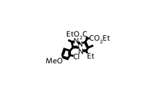 CCOC(=O)C(C(=O)OCC)c1c(C)c(CC)nc2c(-c3ccc(OC)cc3Cl)c(C)nn12